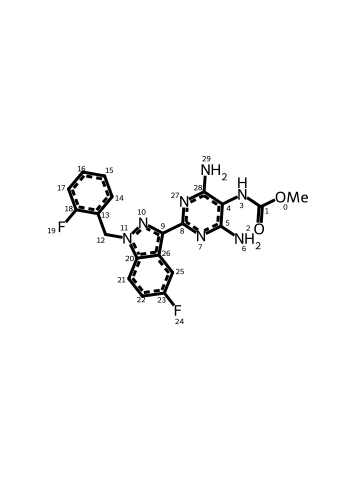 COC(=O)Nc1c(N)nc(-c2nn(Cc3ccccc3F)c3ccc(F)cc23)nc1N